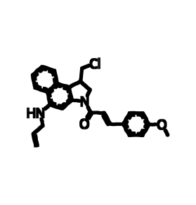 C=CCNc1cc2c(c3ccccc13)C(CCl)CN2C(=O)C=Cc1ccc(OC)cc1